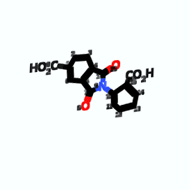 O=C(O)c1ccc2c(c1)C(=O)N(c1ccccc1C(=O)O)C2=O